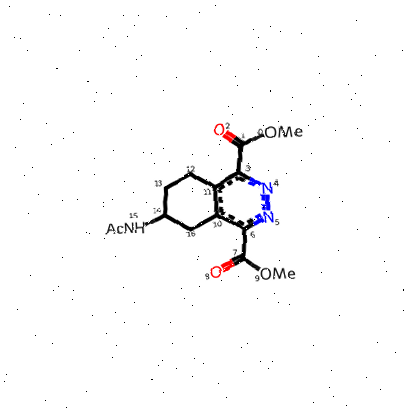 COC(=O)c1nnc(C(=O)OC)c2c1CCC(NC(C)=O)C2